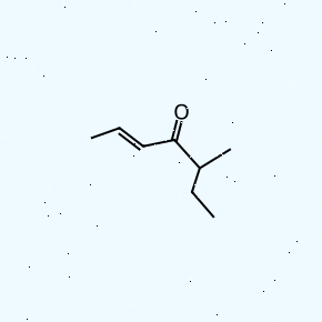 C/C=C/C(=O)C(C)CC